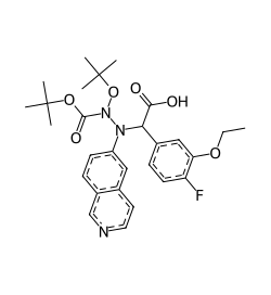 CCOc1cc(C(C(=O)O)N(c2ccc3cnccc3c2)N(OC(C)(C)C)C(=O)OC(C)(C)C)ccc1F